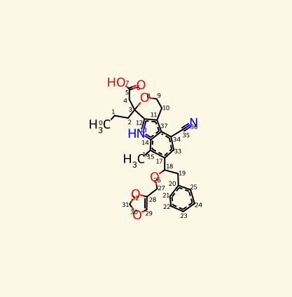 CCCC1(CC(=O)O)OCCc2c1[nH]c1c(C)c(C(Cc3ccccc3)OCC3=COCO3)cc(C#N)c21